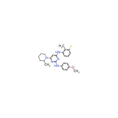 COc1ccc(Nc2nc(Nc3cccc(F)c3C)cc(N3CCCCC3C)n2)cc1